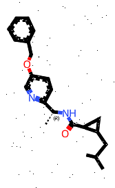 CC(C)CC1CC1C(=O)N[C@H](C)c1ccc(OCc2ccccc2)cn1